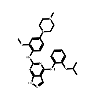 COc1cc(N2CCN(C)CC2)ccc1Nc1nc(Nc2ccccc2SC(C)C)c2cn[nH]c2n1